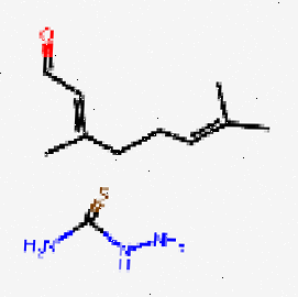 CC(C)=CCCC(C)=CC=O.NNC(N)=S